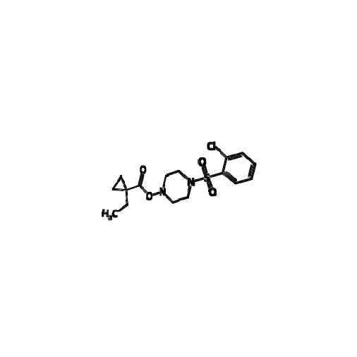 CCC1(C(=O)ON2CCN(S(=O)(=O)c3ccccc3Cl)CC2)CC1